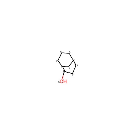 OC1CCC2CCCC1C2